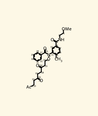 COCCNC(=O)c1ccc(C)c(N(OCCC(=O)CCC(=O)CCC(C)=O)C(=O)c2ccccc2)c1